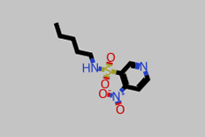 CCCCCNS(=O)(=O)c1cnccc1[N+](=O)[O-]